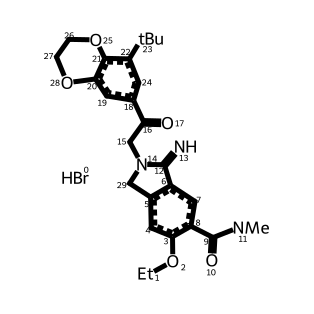 Br.CCOc1cc2c(cc1C(=O)NC)C(=N)N(CC(=O)c1cc3c(c(C(C)(C)C)c1)OCCO3)C2